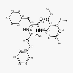 CCOC(OCC)[C@H](CC(C)=O)NC(=O)[C@H](CC1CCCCC1)NC(=O)OCc1ccccc1